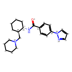 O=C(N[C@H]1CCCC[C@@H]1CN1CCCCC1)c1ccc(-n2cccn2)cc1